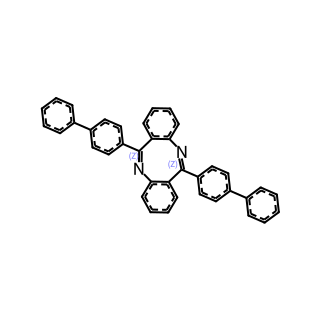 c1ccc(-c2ccc(/C3=N/c4ccccc4/C(c4ccc(-c5ccccc5)cc4)=N\c4ccccc43)cc2)cc1